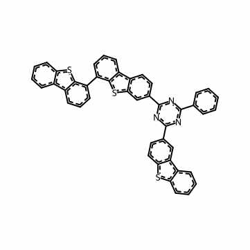 c1ccc(-c2nc(-c3ccc4c(c3)sc3c(-c5cccc6c5sc5ccccc56)cccc34)nc(-c3ccc4sc5ccccc5c4c3)n2)cc1